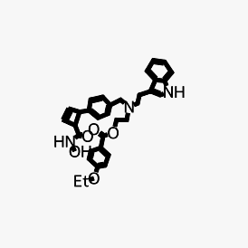 CCOc1ccc(C(=O)OCCN(CCc2c[nH]c3ccccc23)Cc2ccc(C3C#CC3C(=O)NO)cc2)cc1